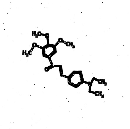 CCN(CC)c1ccc(/C=C/C(=O)c2cc(OC)c(OC)c(OC)c2)cc1